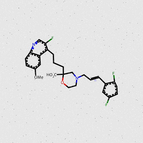 COc1ccc2ncc(F)c(CCCC3(C(=O)O)CN(C/C=C/c4cc(F)ccc4F)CCO3)c2c1